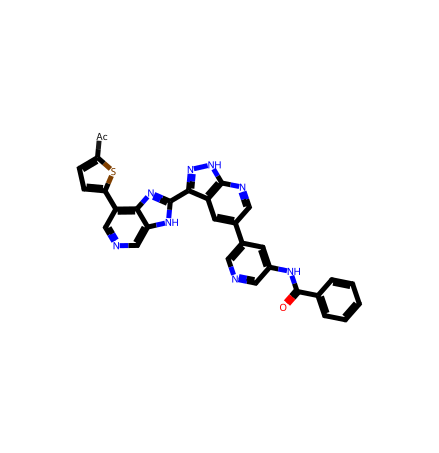 CC(=O)c1ccc(-c2cncc3[nH]c(-c4n[nH]c5ncc(-c6cncc(NC(=O)c7ccccc7)c6)cc45)nc23)s1